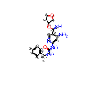 C[C@@H](NC(=O)Nc1cc(N)c(C(=N)OC2CCOC2)cn1)c1ccccc1